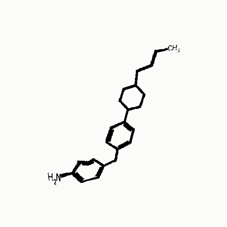 CCCCC1CCC(c2ccc(Cc3ccc(N)cc3)cc2)CC1